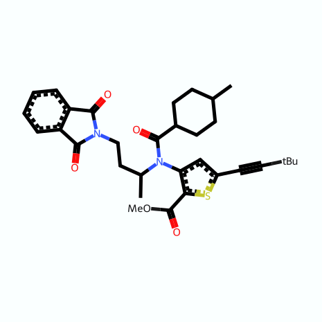 COC(=O)c1sc(C#CC(C)(C)C)cc1N(C(=O)C1CCC(C)CC1)C(C)CCN1C(=O)c2ccccc2C1=O